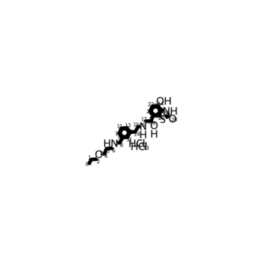 CCCOCCCNCc1cccc(CCNC[C@H](O)c2ccc(O)c3[nH]c(=O)sc23)c1.Cl.Cl